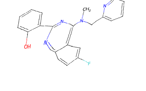 CN(Cc1ccccn1)c1nc(-c2ccccc2O)nc2ccc(F)cc12